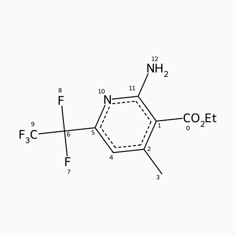 CCOC(=O)c1c(C)cc(C(F)(F)C(F)(F)F)nc1N